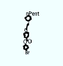 CCCCC[C@H]1CC[C@H](C=CCOc2ccc(C(=O)Oc3ccc(Br)cc3)cc2)CC1